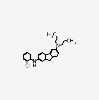 CCCN(CCC)c1ccc2c(c1)-c1ccc(Nc3ccccc3Cl)cc1C2